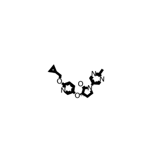 Cc1ncc(N2CC[C@@H](Oc3ccc(OCC4CC4)nc3)C2=O)cn1